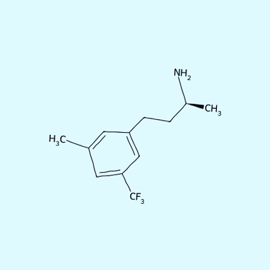 Cc1cc(CC[C@H](C)N)cc(C(F)(F)F)c1